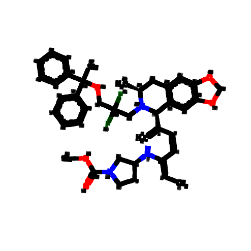 C=C(/C=C\C(=C/C)N[C@H]1CCN(C(=O)OC(C)(C)C)C1)[C@@H]1c2cc3c(cc2C[C@@H](C)N1CC(F)(F)CO[Si](c1ccccc1)(c1ccccc1)C(C)(C)C)OCO3